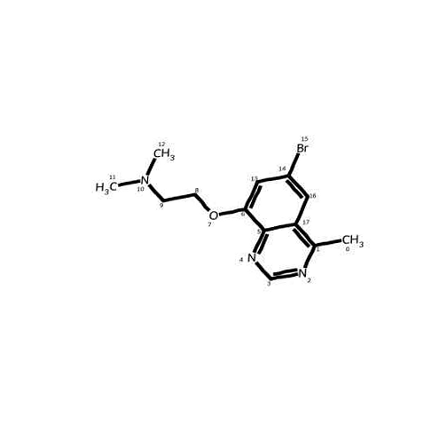 Cc1ncnc2c(OCCN(C)C)cc(Br)cc12